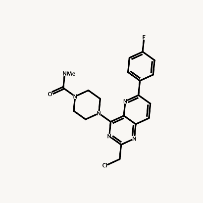 CNC(=O)N1CCN(c2nc(CCl)nc3ccc(-c4ccc(F)cc4)nc23)CC1